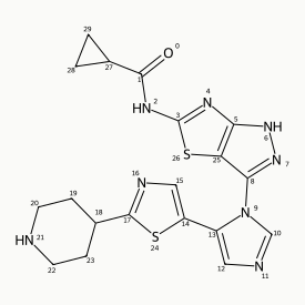 O=C(Nc1nc2[nH]nc(-n3cncc3-c3cnc(C4CCNCC4)s3)c2s1)C1CC1